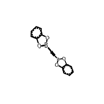 C(#CB1Oc2ccccc2O1)B1Oc2ccccc2O1